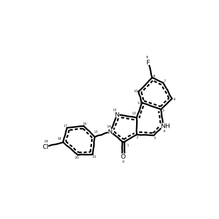 O=c1c2c[nH]c3ccc(F)cc3c-2nn1-c1ccc(Cl)cc1